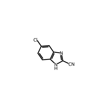 N#Cc1nc2cc(Cl)ccc2[nH]1